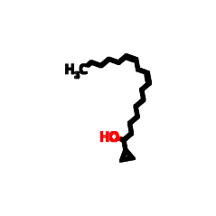 CCCCC/C=C\C/C=C\CCCCCCC(O)[C]1CC1